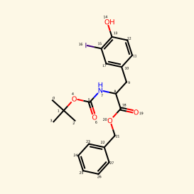 CC(C)(C)OC(=O)NC(Cc1ccc(O)c(I)c1)C(=O)OCc1ccccc1